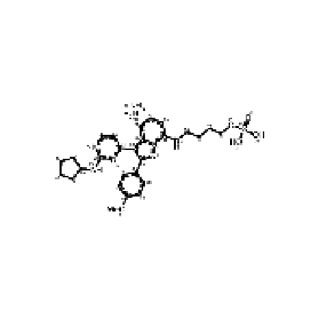 COc1ccc(-c2nn3c(NCCCCOP(=O)(O)O)cccc3c2-c2ccnc(NC3CCCC3)n2)cc1.N.N